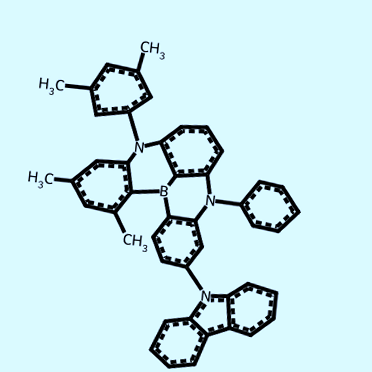 Cc1cc(C)cc(N2c3cc(C)cc(C)c3B3c4ccc(-n5c6ccccc6c6ccccc65)cc4N(c4ccccc4)c4cccc2c43)c1